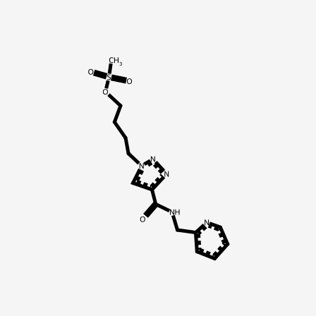 CS(=O)(=O)OCCCCn1cc(C(=O)NCc2ccccn2)nn1